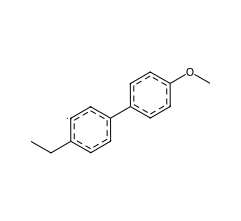 CCc1[c]cc(-c2ccc(OC)cc2)cc1